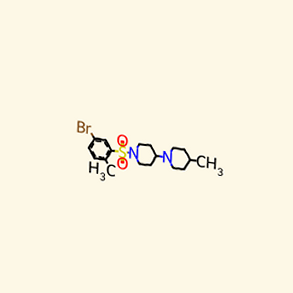 Cc1ccc(Br)cc1S(=O)(=O)N1CCC(N2CCC(C)CC2)CC1